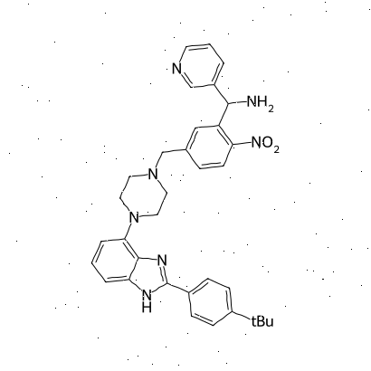 CC(C)(C)c1ccc(-c2nc3c(N4CCN(Cc5ccc([N+](=O)[O-])c(C(N)c6cccnc6)c5)CC4)cccc3[nH]2)cc1